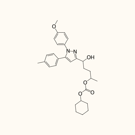 COc1ccc(-n2nc(C(O)CCC(C)OC(=O)OC3CCCCC3)cc2-c2ccc(C)cc2)cc1